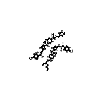 CCCCC(CC)CNC1CCN(S(=O)(=O)c2ccc(CNC(=O)c3ccc(Cl)cc3)s2)CC1.O=C(NCc1ccc(S(=O)(=O)N2CCC(NCCCn3ccnc3)CC2)s1)c1ccc(Cl)cc1